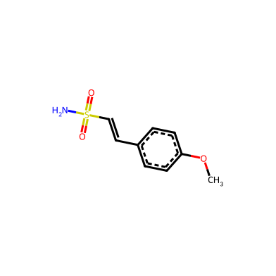 COc1ccc(/C=C/S(N)(=O)=O)cc1